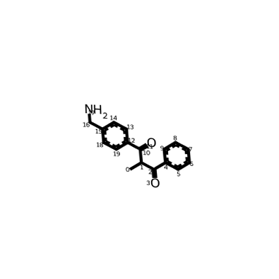 CC(C(=O)c1ccccc1)C(=O)c1ccc(CN)cc1